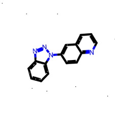 c1cnc2ccc(-n3nnc4ccccc43)cc2c1